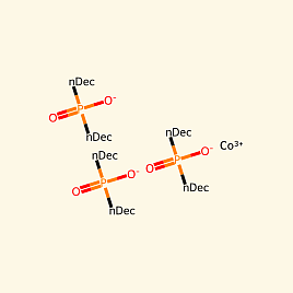 CCCCCCCCCCP(=O)([O-])CCCCCCCCCC.CCCCCCCCCCP(=O)([O-])CCCCCCCCCC.CCCCCCCCCCP(=O)([O-])CCCCCCCCCC.[Co+3]